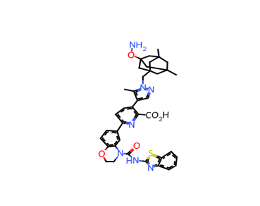 Cc1c(-c2ccc(-c3ccc4c(c3)N(C(=O)Nc3nc5ccccc5s3)CCO4)nc2C(=O)O)cnn1CC12CC3(C)CC(C)(C1)CC(ON)(C3)C2